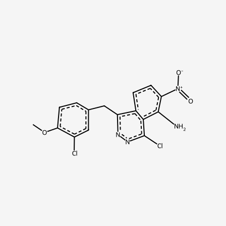 COc1ccc(Cc2nnc(Cl)c3c(N)c([N+](=O)[O-])ccc23)cc1Cl